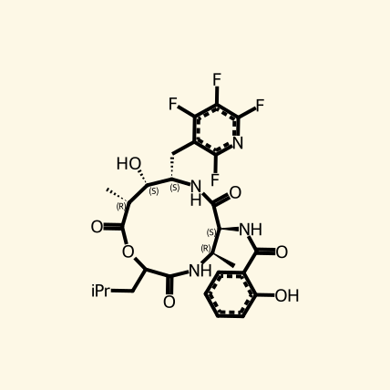 CC(C)CC1OC(=O)[C@H](C)[C@H](O)[C@H](Cc2c(F)nc(F)c(F)c2F)NC(=O)[C@@H](NC(=O)c2ccccc2O)[C@@H](C)NC1=O